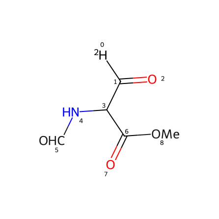 [2H]C(=O)C(NC=O)C(=O)OC